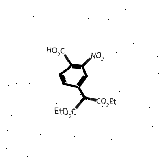 CCOC(=O)C(C(=O)OCC)c1ccc(C(=O)O)c([N+](=O)[O-])c1